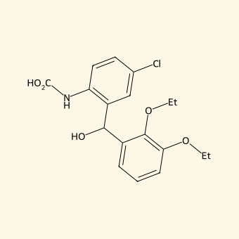 CCOc1cccc(C(O)c2cc(Cl)ccc2NC(=O)O)c1OCC